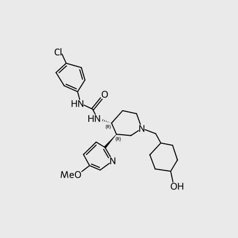 COc1ccc([C@@H]2CN(CC3CCC(O)CC3)CC[C@H]2NC(=O)Nc2ccc(Cl)cc2)nc1